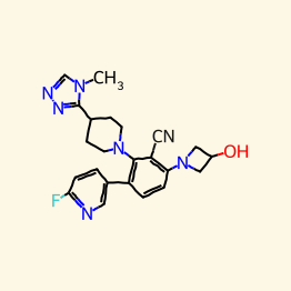 Cn1cnnc1C1CCN(c2c(-c3ccc(F)nc3)ccc(N3CC(O)C3)c2C#N)CC1